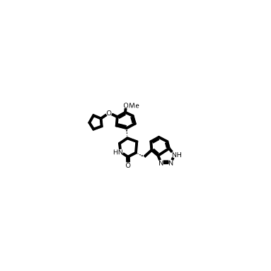 COc1ccc([C@H]2CNC(=O)[C@@H](Cc3cccc4[nH]nnc34)C2)cc1OC1CCCC1